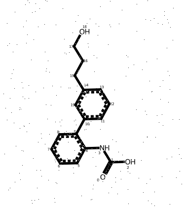 O=C(O)Nc1ccccc1-c1cccc(CCCO)c1